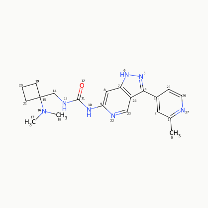 Cc1cc(-c2n[nH]c3cc(NC(=O)NCC4(N(C)C)CCC4)ncc23)ccn1